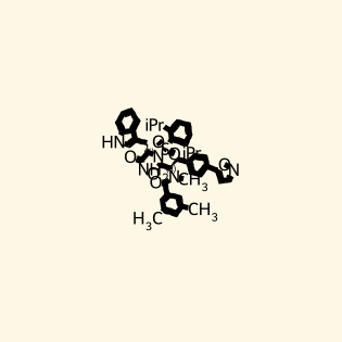 Cc1cc(C)cc(C(=O)N(C)[C@H](Cc2ccc(-c3ccno3)cc2)C(=O)N([C@@H](Cc2c[nH]c3ccccc23)C(N)=O)S(=O)(=O)c2c(C(C)C)cccc2C(C)C)c1